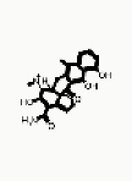 Cc1c2c(c(O)c3c(O)cccc13)C(=O)[C@]13OCC=C1C(C(N)=O)=C(O)[C@H](N(C)C)[C@@H]3C2